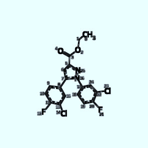 CCOC(=O)c1cc(-c2ccc(F)c(Cl)c2)n(-c2ccc(F)c(Cl)c2)n1